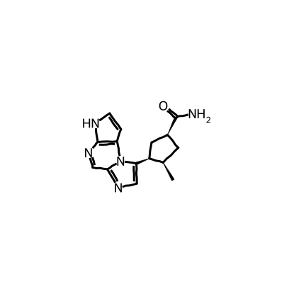 C[C@@H]1C[C@H](C(N)=O)C[C@@H]1c1cnc2cnc3[nH]ccc3n12